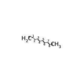 C=CCC=CC=CC=CC